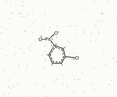 Clc1ccc[n+]([Pd]([Cl])[Cl])c1